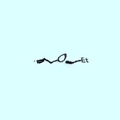 [CH]=CCOCCC